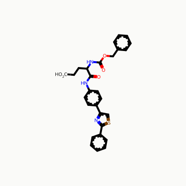 O=C(O)CCC(NC(=O)OCc1ccccc1)C(=O)Nc1ccc(-c2csc(-c3ccccc3)n2)cc1